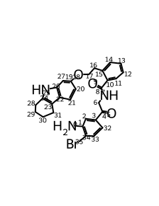 Nc1cc(C(=O)CNC(=O)c2ccccc2CCOc2ccc3c4c([nH]c3c2)CCCC4)ccc1Br